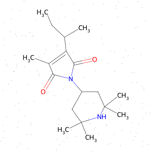 CCC(C)C1=C(C)C(=O)N(C2CC(C)(C)NC(C)(C)C2)C1=O